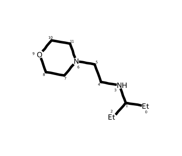 CCC(CC)NCCN1CCOCC1